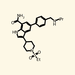 CCS(=O)(=O)N1CCC(c2c[nH]c3c(C(N)=O)cc(-c4ccc(CNC(C)C)cc4)cc23)CC1